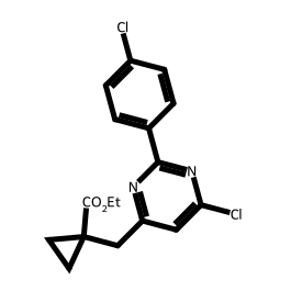 CCOC(=O)C1(Cc2cc(Cl)nc(-c3ccc(Cl)cc3)n2)CC1